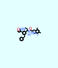 Cc1cc(C)c(C[C@H](N)C(=O)N[C@@H]2CCNc3c(-c4ccoc4)cc(Cc4ccccc4)cc32)c(C)c1